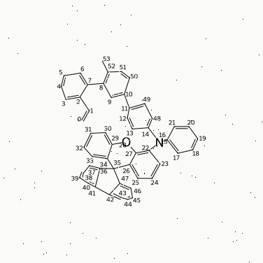 C=Cc1ccccc1-c1cc(-c2ccc(N(c3ccccc3)c3cccc4c3Oc3ccccc3C43c4ccccc4-c4ccccc43)cc2)ccc1C